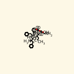 CC(C)CC(NC(=O)C(Cc1ccccc1)NC(=O)C(N)Cc1ccccc1)C(=O)NC(CCCCN)C(=O)N1C2CC1CN(C(=O)C(N)CC(=O)O)C2